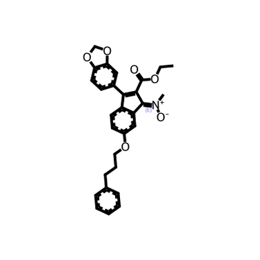 CCOC(=O)C1=C(c2ccc3c(c2)OCO3)c2ccc(OCCCc3ccccc3)cc2/C1=[N+](/C)[O-]